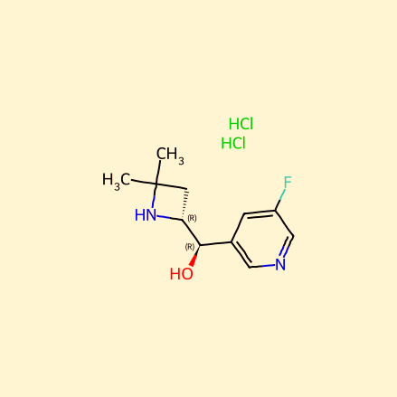 CC1(C)C[C@H]([C@H](O)c2cncc(F)c2)N1.Cl.Cl